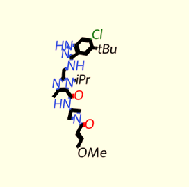 COCC=CC(=O)N1CC(NC(=O)c2c(C)nc(CNc3n[nH]c4cc(Cl)c(C(C)(C)C)cc34)n2C(C)C)C1